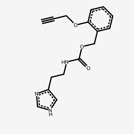 C#CCOc1ccccc1COC(=O)NCCc1c[nH]cn1